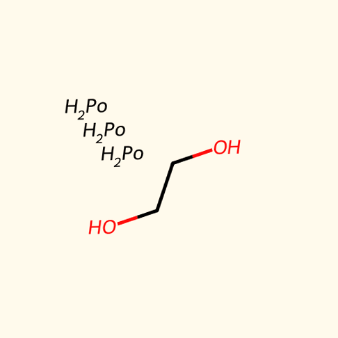 OCCO.[PoH2].[PoH2].[PoH2]